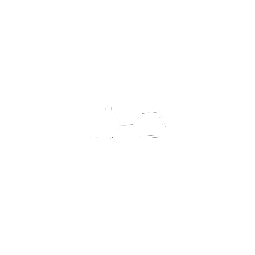 CCCC(C([O])=O)c1ccccc1